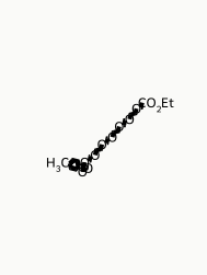 CCOC(=O)COCCOCCOCCOCCOCCOCCOS(=O)(=O)c1ccc(C)cc1